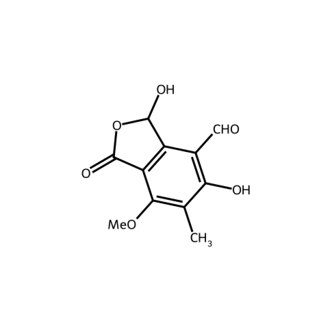 COc1c(C)c(O)c(C=O)c2c1C(=O)OC2O